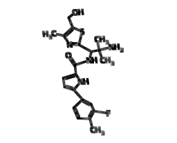 Cc1ccc(-c2ccc(C(=O)NC(c3nc(C)c(CO)s3)C(C)(C)N)[nH]2)cc1F